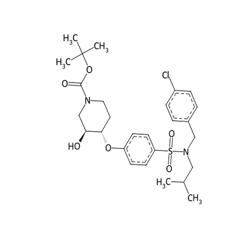 CC(C)CN(Cc1ccc(Cl)cc1)S(=O)(=O)c1ccc(O[C@H]2CCN(C(=O)OC(C)(C)C)C[C@@H]2O)cc1